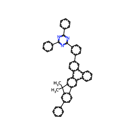 CC1(C)c2cc(-c3ccccc3)ccc2-c2cc3c4ccccc4c4cc(-c5cccc(-c6nc(-c7ccccc7)nc(-c7ccccc7)n6)c5)ccc4c3cc21